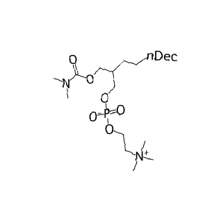 CCCCCCCCCCCCC(COC(=O)N(C)C)COP(=O)([O-])OCC[N+](C)(C)C